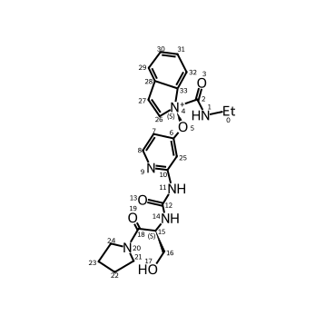 CCNC(=O)[N@+]1(Oc2ccnc(NC(=O)N[C@@H](CO)C(=O)N3CCCC3)c2)C=Cc2ccccc21